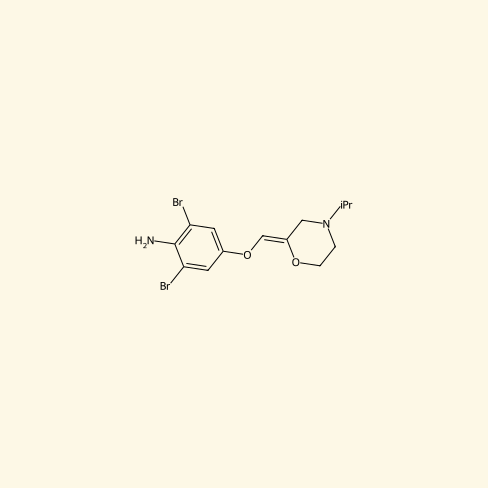 CC(C)N1CCO/C(=C\Oc2cc(Br)c(N)c(Br)c2)C1